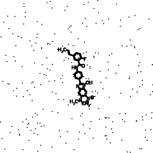 [CH2]C=Cc1ccc(F)c(C(=O)Nc2ccc(-c3nc4cc(N(C)C)c([N+](=O)[O-])cc4n3O)cc2)c1